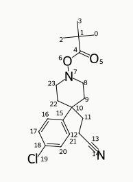 CC(C)(C)C(=O)ON1CCC(CCC#N)(c2ccc(Cl)cc2)CC1